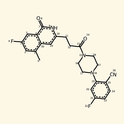 Cc1cc(F)cc2c(=O)[nH]c(CCC(=O)N3CCN(c4cc(F)ccc4C#N)CC3)cc12